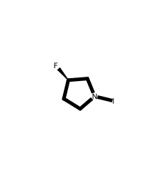 F[C@@H]1CCN(I)C1